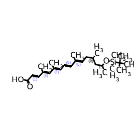 CC(=C\C=C\C(C)=C\C[C@@H](C)C[C@H](C)O[Si](C)(C)C(C)(C)C)/C=C(C)/C=C/C(=O)O